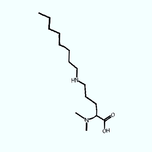 CCCCCCCCNCCCC(C(=O)O)N(C)C